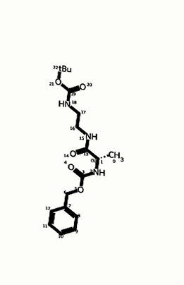 C[C@H](NC(=O)OCc1ccccc1)C(=O)NCCNC(=O)OC(C)(C)C